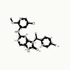 COc1ncc(Cl)cc1Nc1ncc2[nH]c(=O)n(C(C)c3ccc(F)cn3)c2n1